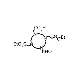 CCOOCCN1CCN(C=O)CCN(CC(=O)OCC)CCN(CC(=O)OCC)CC1